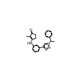 CC1=C(Nc2cccc(-c3cn(C(C)c4ccccc4)nn3)c2)CCC1=O